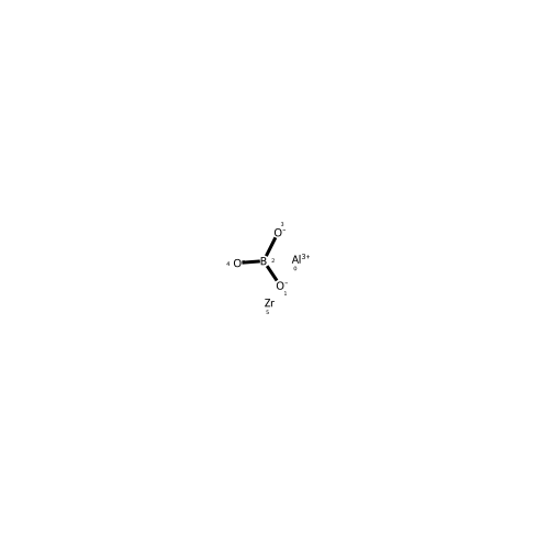 [Al+3].[O-]B([O-])[O-].[Zr]